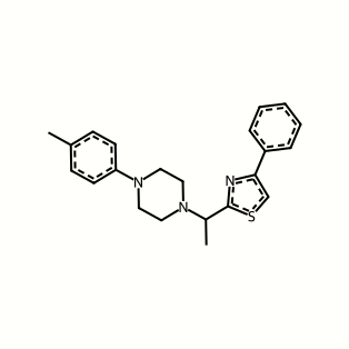 Cc1ccc(N2CCN(C(C)c3nc(-c4ccccc4)cs3)CC2)cc1